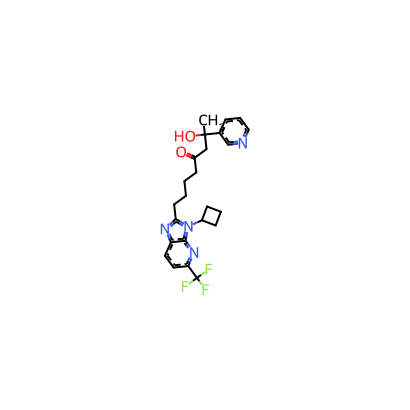 CC(O)(CC(=O)CCCCc1nc2ccc(C(F)(F)F)nc2n1C1CCC1)c1cccnc1